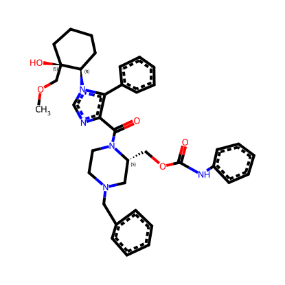 COC[C@]1(O)CCCC[C@H]1n1cnc(C(=O)N2CCN(Cc3ccccc3)C[C@H]2COC(=O)Nc2ccccc2)c1-c1ccccc1